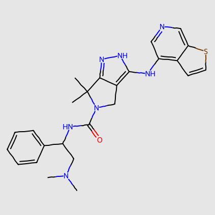 CN(C)CC(NC(=O)N1Cc2c(n[nH]c2Nc2cncc3sccc23)C1(C)C)c1ccccc1